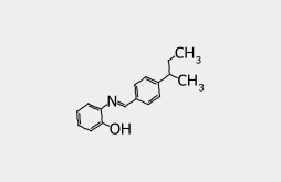 CCC(C)c1ccc(C=Nc2ccccc2O)cc1